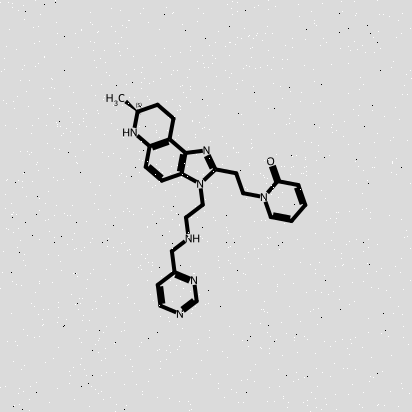 C[C@H]1CCc2c(ccc3c2nc(CCn2ccccc2=O)n3CCNCc2ccncn2)N1